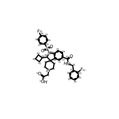 O=C(O)CN1CCC2(CC1)c1cc(C(=O)NCc3ccccc3F)ccc1N(S(=O)(=O)c1ccc(F)cc1)C2C1CCC1